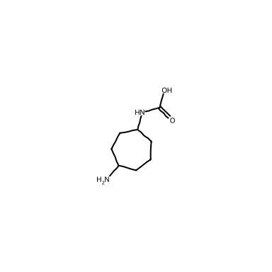 NC1CCCC(NC(=O)O)CC1